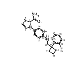 NC(=O)C1SC=CN1c1cnc(NCC2(c3ncccc3F)CCC2)nc1